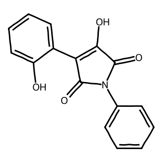 O=C1C(O)=C(c2ccccc2O)C(=O)N1c1ccccc1